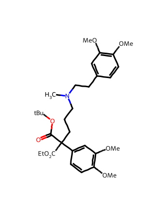 CCOC(=O)C(CCCN(C)CCc1ccc(OC)c(OC)c1)(C(=O)OC(C)(C)C)c1ccc(OC)c(OC)c1